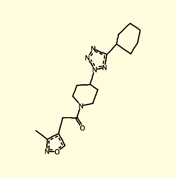 Cc1nocc1CC(=O)N1CCC(n2nnc(C3CCCCC3)n2)CC1